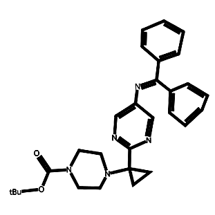 CC(C)(C)OC(=O)N1CCN(C2(c3ncc(N=C(c4ccccc4)c4ccccc4)cn3)CC2)CC1